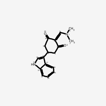 CN(C)C=C1C(=O)CC(c2c[nH]c3ccccc23)CC1=O